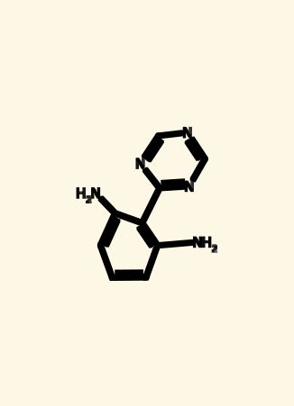 Nc1cccc(N)c1-c1ncncn1